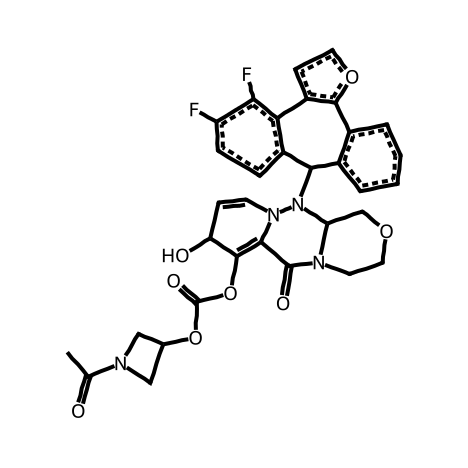 CC(=O)N1CC(OC(=O)OC2=C3C(=O)N4CCOCC4N(C4c5ccccc5-c5occc5-c5c4ccc(F)c5F)N3C=CC2O)C1